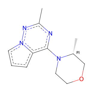 Cc1nc(N2CCOC[C@H]2C)c2cccn2n1